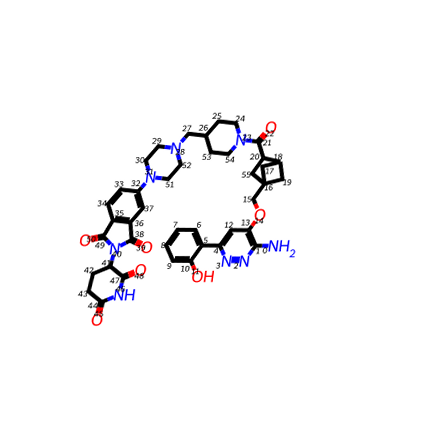 Nc1nnc(-c2ccccc2O)cc1OCC12CC(C1)C(C(=O)N1CCC(CN3CCN(c4ccc5c(c4)C(=O)N(C4CCC(=O)NC4=O)C5=O)CC3)CC1)C2